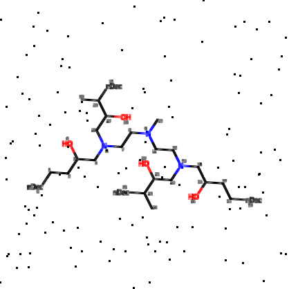 CCCCCCCCCCCCC(O)CN(CCN(C)CCN(CC(O)CCCCCCCCCCCC)CC(O)C(C)CCCCCCCCCC)CC(O)C(C)CCCCCCCCCC